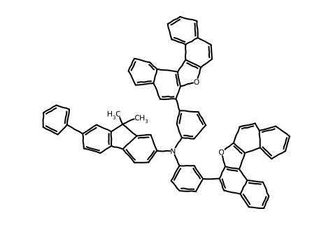 CC1(C)c2cc(-c3ccccc3)ccc2-c2ccc(N(c3cccc(-c4cc5ccccc5c5c4oc4ccc6ccccc6c45)c3)c3cccc(-c4cc5ccccc5c5c4oc4ccc6ccccc6c45)c3)cc21